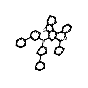 c1ccc(-c2ccc(N(c3cccc(-c4ccccc4)c3)c3cc4c(-c5ccccc5)nc5ccccc5c4c4c3sc3ccccc34)cc2)cc1